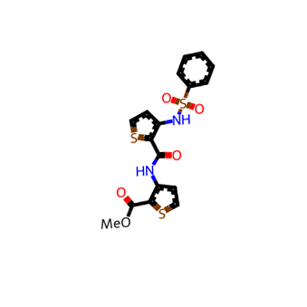 COC(=O)c1sccc1NC(=O)c1sccc1NS(=O)(=O)c1ccccc1